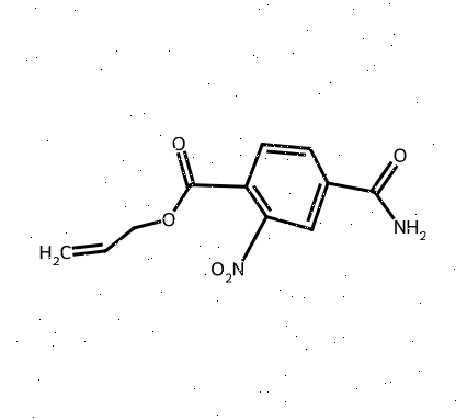 C=CCOC(=O)c1ccc(C(N)=O)cc1[N+](=O)[O-]